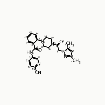 Cc1cc(C)n(CC(=O)N2CCN(c3ccccc3C(=O)Nc3ccc(C#N)nc3)CC2)n1